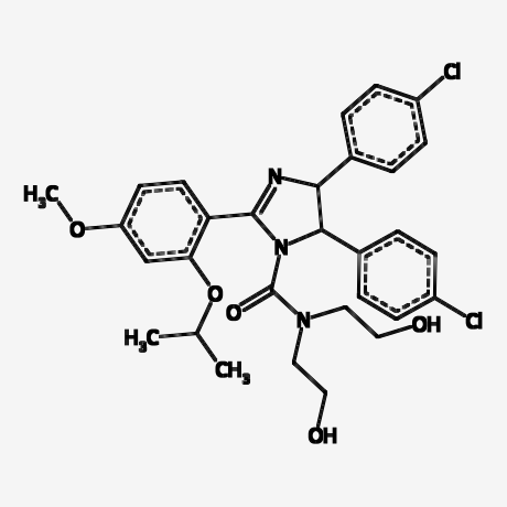 COc1ccc(C2=NC(c3ccc(Cl)cc3)C(c3ccc(Cl)cc3)N2C(=O)N(CCO)CCO)c(OC(C)C)c1